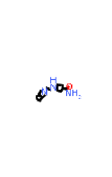 NC(=O)c1ccc(NCCN2CC3CCCC3C2)cc1